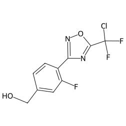 OCc1ccc(-c2noc(C(F)(F)Cl)n2)c(F)c1